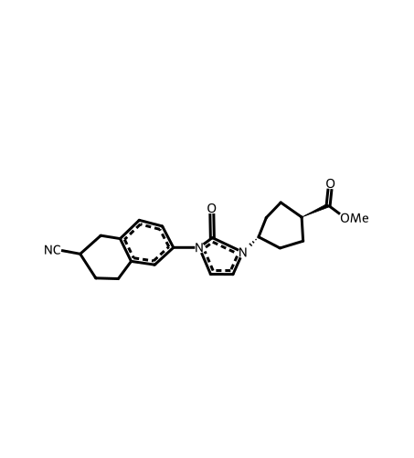 COC(=O)[C@H]1CC[C@H](n2ccn(-c3ccc4c(c3)CCC(C#N)C4)c2=O)CC1